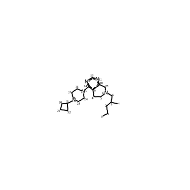 CCCC(C)CN1CCc2c(ncnc2N2CCN(C3CCC3)CC2)C1